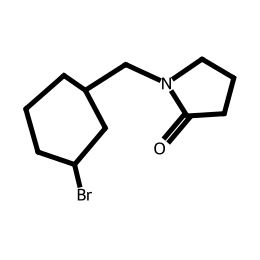 O=C1CCCN1CC1CCCC(Br)C1